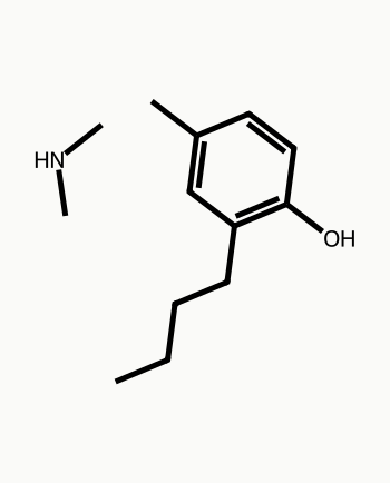 CCCCc1cc(C)ccc1O.CNC